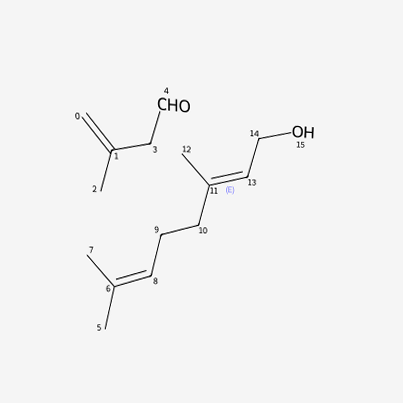 C=C(C)CC=O.CC(C)=CCC/C(C)=C/CO